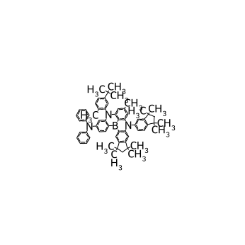 Cc1cc2c3c(c1)N(c1cc(C(C)(C)C)ccc1C)c1cc(N(c4ccccc4)c4ccccc4)ccc1B3c1cc3c(cc1N2c1ccc2c(c1)C(C)(C)CC2(C)C)C(C)(C)CC3(C)C